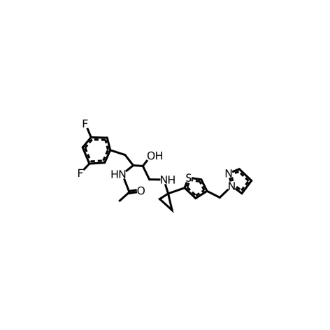 CC(=O)NC(Cc1cc(F)cc(F)c1)C(O)CNC1(c2cc(Cn3cccn3)cs2)CC1